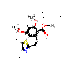 COC(=O)c1c(/C=C\c2nccs2)cc(OC)cc1OC